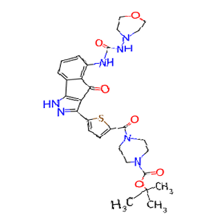 CC(C)(C)OC(=O)N1CCN(C(=O)c2ccc(-c3n[nH]c4c3C(=O)c3c(NC(=O)NN5CCOCC5)cccc3-4)s2)CC1